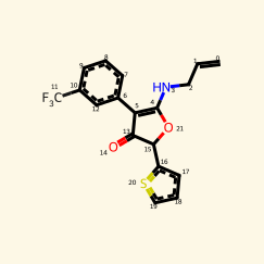 C=CCNC1=C(c2cccc(C(F)(F)F)c2)C(=O)C(c2cccs2)O1